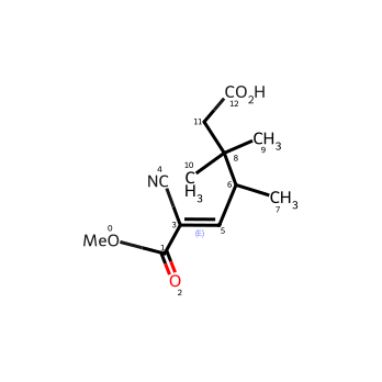 COC(=O)/C(C#N)=C/C(C)C(C)(C)CC(=O)O